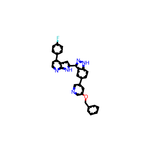 Fc1ccc(-c2ccnc3[nH]c(-c4n[nH]c5ccc(-c6cncc(OCc7ccccc7)c6)cc45)cc23)cc1